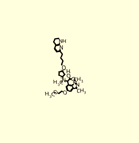 COCCOc1cc(C(C(=O)O)N(C)[C@H]2CC[C@H](OCCCCc3ccc4c(n3)NCCC4)C2)c2c(c1)c(C)nn2C